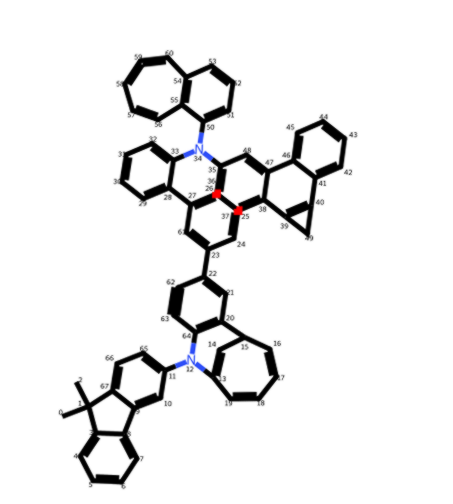 CC1(C)c2ccccc2-c2cc(N3C4=CC(C=CC=C4)c4cc(-c5cccc(-c6ccccc6N(c6ccc7c8c(c9ccccc9c7c6)C8)c6cccc7c6C=CC=C=C7)c5)c#cc43)ccc21